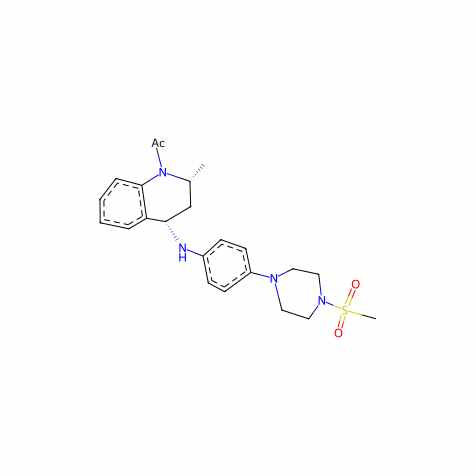 CC(=O)N1c2ccccc2[C@@H](Nc2ccc(N3CCN(S(C)(=O)=O)CC3)cc2)C[C@H]1C